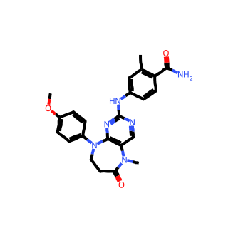 COc1ccc(N2CCC(=O)N(C)c3cnc(Nc4ccc(C(N)=O)c(C)c4)nc32)cc1